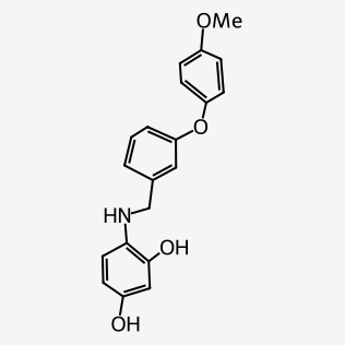 COc1ccc(Oc2cccc(CNc3ccc(O)cc3O)c2)cc1